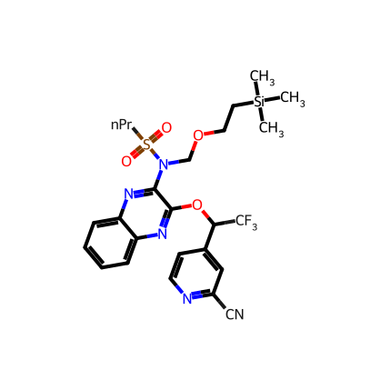 CCCS(=O)(=O)N(COCC[Si](C)(C)C)c1nc2ccccc2nc1OC(c1ccnc(C#N)c1)C(F)(F)F